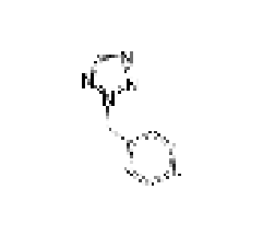 [c]1ccc(Cn2ncnn2)cc1